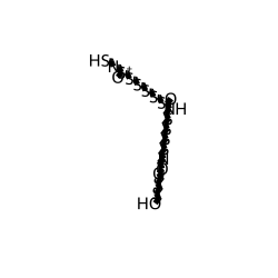 O=C(NCSCSCSCSC/N=C/OOCSCSCO)SCSCSCSCSC[S+]([O-])/C=N/CS